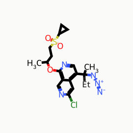 CCC(C)(N=[N+]=[N-])c1cnc(OC(C)CCS(=O)(=O)C2CC2)c2cnc(Cl)cc12